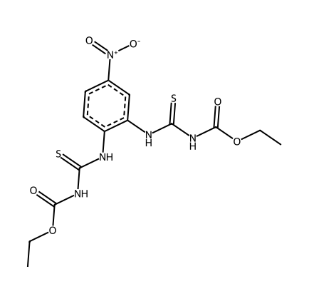 CCOC(=O)NC(=S)Nc1ccc([N+](=O)[O-])cc1NC(=S)NC(=O)OCC